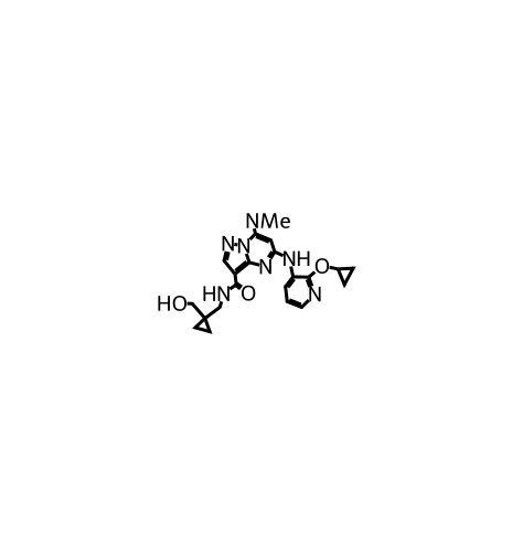 CNc1cc(Nc2cccnc2OC2CC2)nc2c(C(=O)NCC3(CO)CC3)cnn12